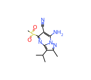 Cc1nn2c(N)c(C#N)c(S(C)(=O)=O)nc2c1C(C)C